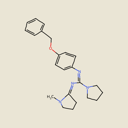 CN1CCCC1=NC(=Nc1ccc(OCc2ccccc2)cc1)N1CCCC1